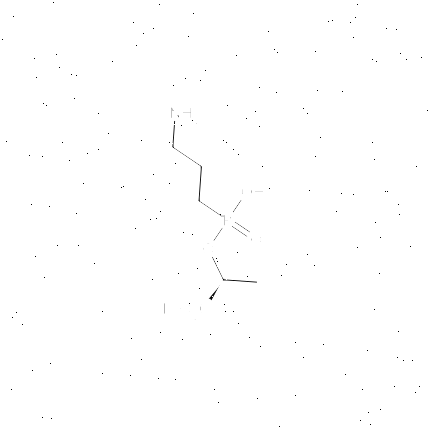 CCOC(=O)[C@H](C)OP(=O)(O)CCCN